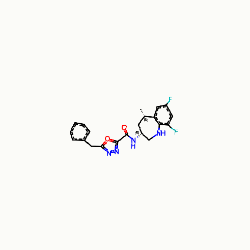 C[C@H]1C[C@@H](NC(=O)c2nnc(Cc3ccccc3)o2)CNc2c(F)cc(F)cc21